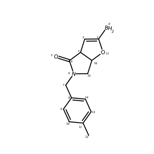 BC1=CC2C(=O)N(Cc3ccc(C)cc3)CC2O1